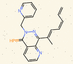 C=C/C=C\C=C(/C)c1nn(Cc2ccccn2)c(=P)c2cccnc12